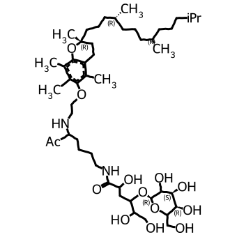 CC(=O)C(CCCCNC(=O)C(O)CC(O[C@@H]1OC(CO)[C@H](O)[C@H](O)C1O)C(O)CO)NCCOc1c(C)c(C)c2c(c1C)CC[C@@](C)(CCC[C@H](C)CCC[C@H](C)CCCC(C)C)O2